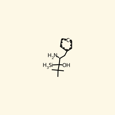 CC(C)(C)C(O)([SiH3])[C@@H](N)Cc1ccccc1